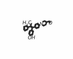 CCC(=C(c1ccc(O)cc1)c1ccc(N2CCC(C=O)CC2)cc1)c1ccccc1